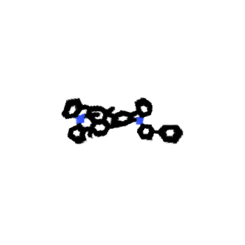 CC1C=CC2(C)C3=C1C(C)(c1ccc4c(c1)c1ccccc1n4-c1cccc(-c4ccccc4)c1)C=C1c4ccccc4N(c4ccccc42)C13C